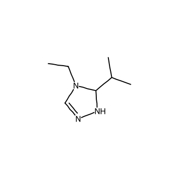 CCN1C=NNC1C(C)C